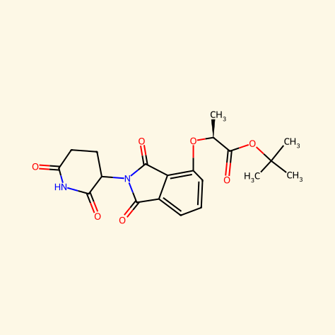 C[C@H](Oc1cccc2c1C(=O)N(C1CCC(=O)NC1=O)C2=O)C(=O)OC(C)(C)C